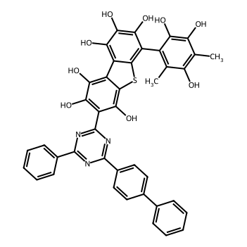 Cc1c(O)c(C)c(-c2c(O)c(O)c(O)c3c2sc2c(O)c(-c4nc(-c5ccccc5)nc(-c5ccc(-c6ccccc6)cc5)n4)c(O)c(O)c23)c(O)c1O